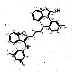 Cc1cc(C)cc(Nc2c(CCCCc3ccc(C)cc3-c3c(S)sc4ccccc34)oc3ccccc23)c1